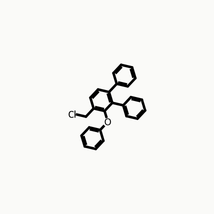 ClCc1ccc(-c2ccccc2)c(-c2ccccc2)c1Oc1ccccc1